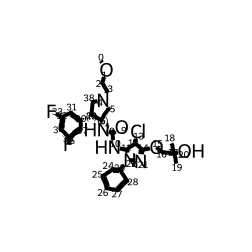 COCCN1C[C@@H](NC(=O)NC2C(Cl)C(OCC(C)(C)O)=NN2c2ccccc2)[C@H](c2cc(F)cc(F)c2)C1